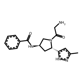 Cc1cc([C@@H]2C[C@@H](NC(=O)c3ccccc3)CN2C(=O)CN)[nH]n1